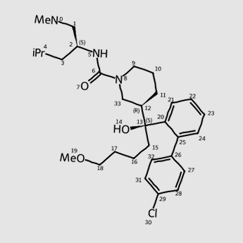 CNC[C@H](CC(C)C)NC(=O)N1CCC[C@@H]([C@@](O)(CCCCOC)c2ccccc2-c2ccc(Cl)cc2)C1